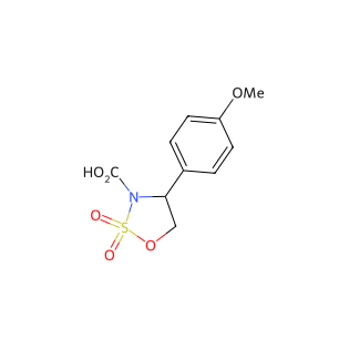 COc1ccc(C2COS(=O)(=O)N2C(=O)O)cc1